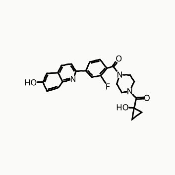 O=C(c1ccc(-c2ccc3cc(O)ccc3n2)cc1F)N1CCN(C(=O)C2(O)CC2)CC1